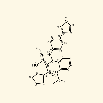 CC(C)Oc1ccccc1C1C(C(=O)C2CCCC2)=C(O)C(=O)N1c1ccc(-c2ccon2)cc1